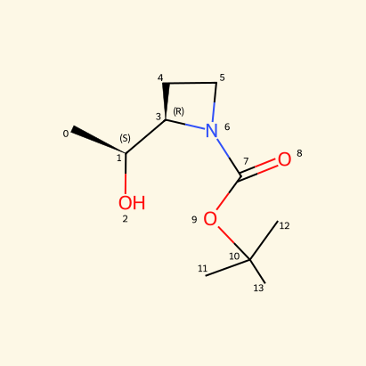 C[C@H](O)[C@H]1CCN1C(=O)OC(C)(C)C